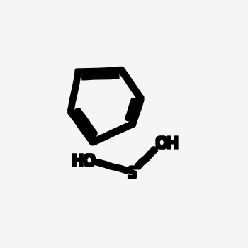 OSO.c1ccccc1